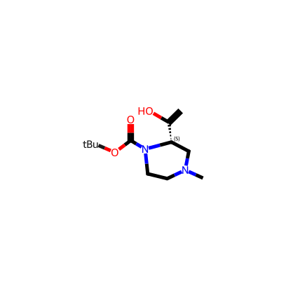 C=C(O)[C@@H]1CN(C)CCN1C(=O)OC(C)(C)C